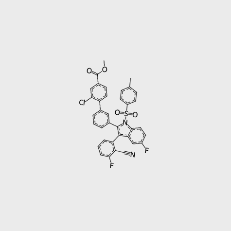 COC(=O)c1ccc(-c2cccc(-c3c(-c4cccc(F)c4C#N)c4cc(F)ccc4n3S(=O)(=O)c3ccc(C)cc3)c2)c(Cl)c1